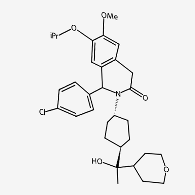 COc1cc2c(cc1OC(C)C)C(c1ccc(Cl)cc1)N([C@H]1CC[C@H](C(C)(O)C3CCOCC3)CC1)C(=O)C2